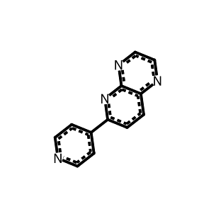 c1cc(-c2ccc3nccnc3n2)ccn1